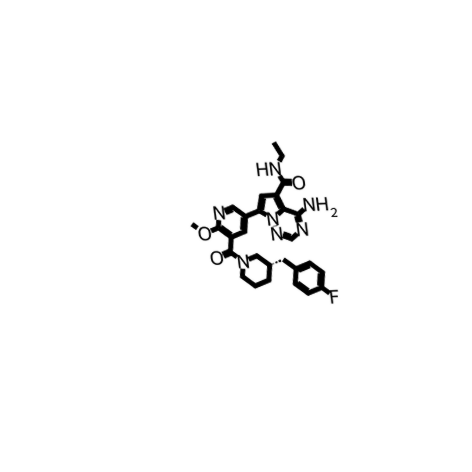 CCNC(=O)c1cc(-c2cnc(OC)c(C(=O)N3CCC[C@@H](Cc4ccc(F)cc4)C3)c2)n2ncnc(N)c12